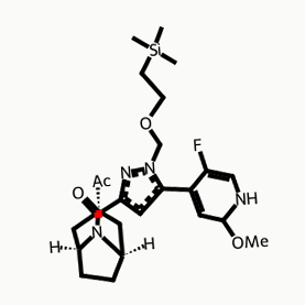 COC1C=C(c2cc(C(=O)N3[C@@H]4CC[C@H]3C[C@H](C(C)=O)C4)nn2COCC[Si](C)(C)C)C(F)=CN1